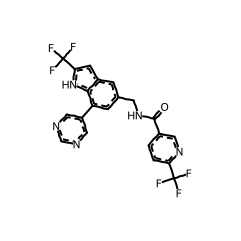 O=C(NCc1cc(-c2cncnc2)c2[nH]c(C(F)(F)F)cc2c1)c1ccc(C(F)(F)F)nc1